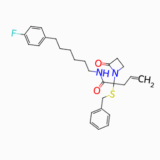 C=CCC(SCc1ccccc1)(C(=O)NCCCCCCc1ccc(F)cc1)N1CCC1=O